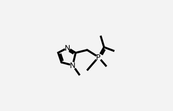 CC(C)=P(C)(C)Cc1nccn1C